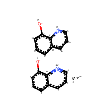 [Mn+2].[O-]c1cccc2cccnc12.[O-]c1cccc2cccnc12